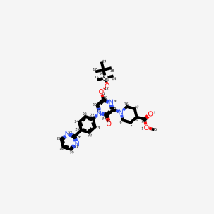 COC(=O)C1CCN(c2nc(OO[Si](C)(C)C(C)(C)C)cn(-c3ccc(-c4ncccn4)cc3)c2=O)CC1